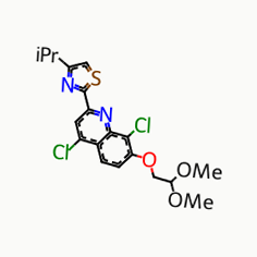 COC(COc1ccc2c(Cl)cc(-c3nc(C(C)C)cs3)nc2c1Cl)OC